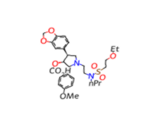 CCCN(CCN1C[C@H](c2ccc3c(c2)OCO3)[C@H](OC(=O)O)[C@H]1c1ccc(OC)cc1)S(=O)(=O)CCOCC